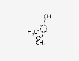 C#Cc1ccc(COC)c(C)c1